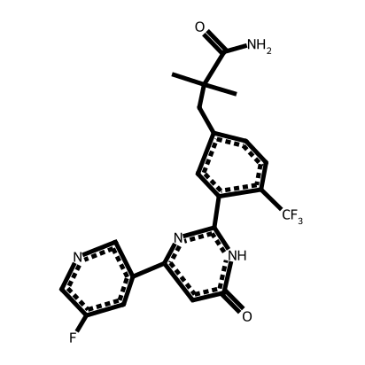 CC(C)(Cc1ccc(C(F)(F)F)c(-c2nc(-c3cncc(F)c3)cc(=O)[nH]2)c1)C(N)=O